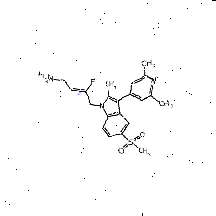 Cc1cc(-c2c(C)n(C/C(F)=C/CN)c3ccc(S(C)(=O)=O)cc23)cc(C)n1